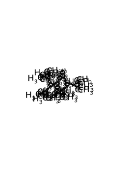 CC(C)(C)c1cc(C=Cc2cc(C=CC(=Cc3ccccc3)c3cc(CBr)cc(C(C=Cc4cc(C=Cc5cc(C(C)(C)C)cc(C(C)(C)C)c5)cc(C=Cc5cc(C(C)(C)C)cc(C(C)(C)C)c5)c4)=Cc4ccccc4)c3)cc(C=Cc3cc(C(C)(C)C)cc(C(C)(C)C)c3)c2)cc(C(C)(C)C)c1